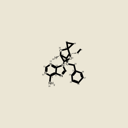 CC[C@@]12O[C@@H](n3cnc4c(N)ncnc43)[C@@H](OC13CC3)C2OCc1ccccc1